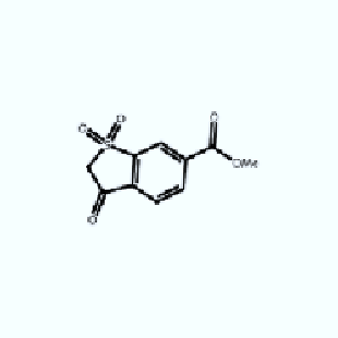 COC(=O)c1ccc2c(c1)S(=O)(=O)CC2=O